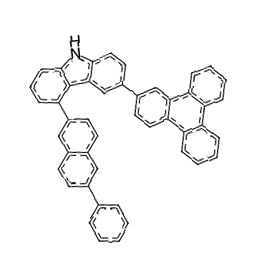 c1ccc(-c2ccc3cc(-c4cccc5[nH]c6ccc(-c7ccc8c9ccccc9c9ccccc9c8c7)cc6c45)ccc3c2)cc1